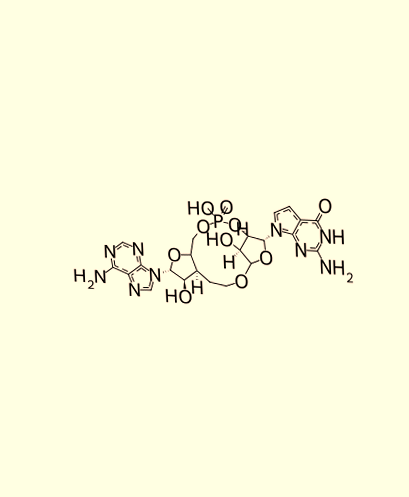 Nc1nc2c(ccn2[C@@H]2OC3OCC[C@@H]4C(COP(=O)(O)O[C@@H]2[C@@H]3O)O[C@@H](n2cnc3c(N)ncnc32)[C@@H]4O)c(=O)[nH]1